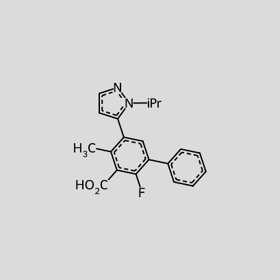 Cc1c(-c2ccnn2C(C)C)cc(-c2ccccc2)c(F)c1C(=O)O